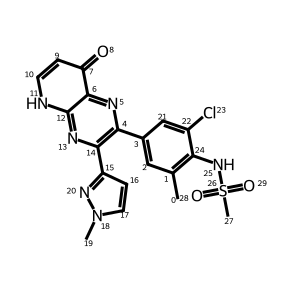 Cc1cc(-c2nc3c(=O)cc[nH]c3nc2-c2ccn(C)n2)cc(Cl)c1NS(C)(=O)=O